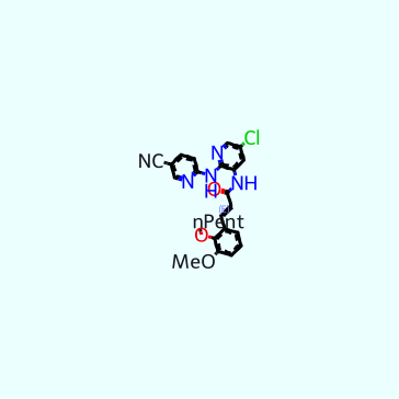 CCCCCOc1c(/C=C/C(=O)Nc2cc(Cl)cnc2Nc2ccc(C#N)cn2)cccc1OC